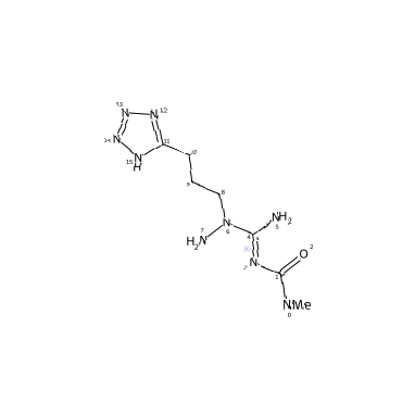 CNC(=O)/N=C(\N)N(N)CCCc1nnn[nH]1